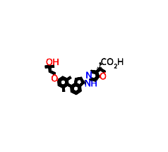 Cc1cc(OCCC(C)(C)O)cc(C)c1-c1cccc2c1CC[C@H]2Nc1cc2c(cn1)[C@H](CC(=O)O)CO2